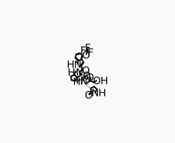 O=C1NCC[C@H]1C[C@H](NC(=O)[C@@H]1[C@H]2CCC[C@H]2CN1C(=O)c1cc2c(OC(F)(F)F)cccc2[nH]1)C(=O)CO